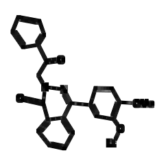 CCOc1cc(-c2nn(CC(=O)c3ccccc3)c(=O)c3ccccc23)ccc1OC